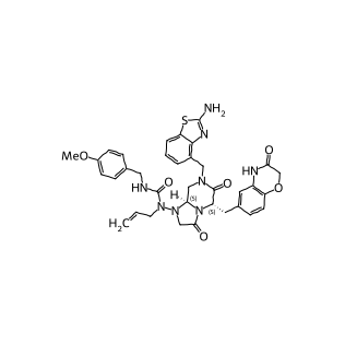 C=CCN(C(=O)NCc1ccc(OC)cc1)N1CC(=O)N2[C@@H](Cc3ccc4c(c3)NC(=O)CO4)C(=O)N(Cc3cccc4sc(N)nc34)C[C@@H]21